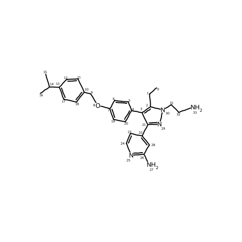 CCc1c(-c2ccc(OCc3ccc(C(C)C)cc3)cc2)c(-c2ccnc(N)c2)nn1CCN